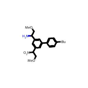 COCC(N)c1cc(-c2ccc(C(C)(C)C)cc2)cc(C(COC)[N+](=O)[O-])c1